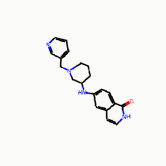 O=c1[nH]ccc2cc(NC3CCCN(Cc4cccnc4)C3)ccc12